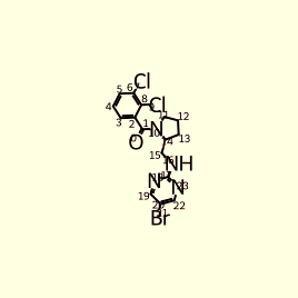 O=C(c1cccc(Cl)c1Cl)N1CCC[C@H]1CNc1ncc(Br)cn1